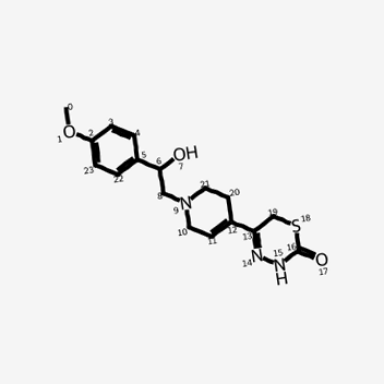 COc1ccc(C(O)CN2CC=C(C3=NNC(=O)SC3)CC2)cc1